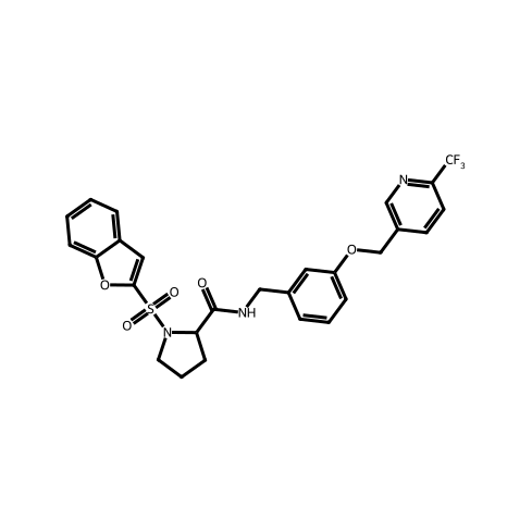 O=C(NCc1cccc(OCc2ccc(C(F)(F)F)nc2)c1)C1CCCN1S(=O)(=O)c1cc2ccccc2o1